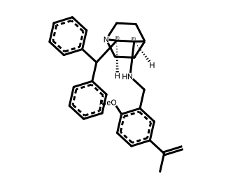 C=C(C)c1ccc(OC)c(CN[C@@H]2C3CCN(CC3)[C@@H]2C(c2ccccc2)c2ccccc2)c1